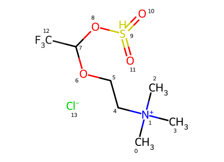 C[N+](C)(C)CCOC(O[SH](=O)=O)C(F)(F)F.[Cl-]